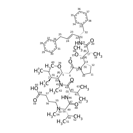 CC[C@H](C)[C@@H]([C@@H](CC(=O)N1CCC[C@H]1[C@H](OC)[C@@H](C)C(=O)N[C@H](C=CCc1ccccc1)Cc1ccccc1)OC)N(C)C(=O)[C@@H](NC(=O)[C@H](C(C)C)N(C)CCCC(=O)O)C(C)C